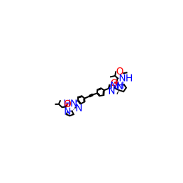 CC(=O)N[C@H](C(=O)N1CCC[C@]1(C)c1nc(-c2ccc(C#Cc3ccc4[nH]c([C@@H]5CCCN5C(=O)CC(C)C)nc4c3)cc2)c[nH]1)C(C)C